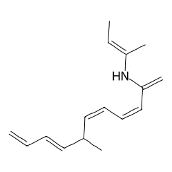 C=C/C=C/C(C)/C=C\C=C/C(=C)N/C(C)=C/C